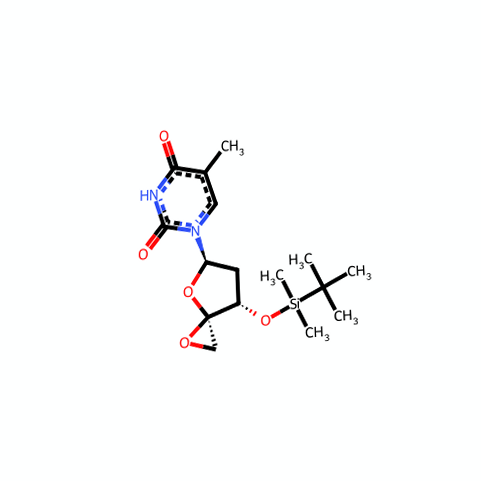 Cc1cn([C@H]2C[C@H](O[Si](C)(C)C(C)(C)C)[C@]3(CO3)O2)c(=O)[nH]c1=O